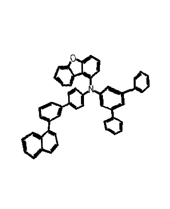 c1ccc(-c2cc(-c3ccccc3)cc(N(c3ccc(-c4cccc(-c5cccc6ccccc56)c4)cc3)c3cccc4oc5ccccc5c34)c2)cc1